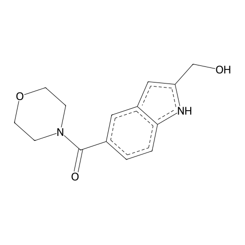 O=C(c1ccc2[nH]c(CO)cc2c1)N1CCOCC1